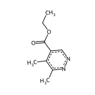 CCOC(=O)c1cnnc(C)c1C